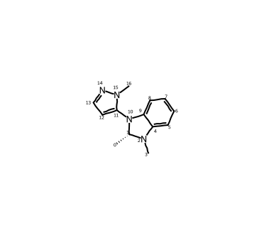 C[C@H]1N(C)c2ccccc2N1c1ccnn1C